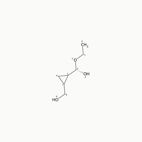 CCO[C@H](O)C1CC1CO